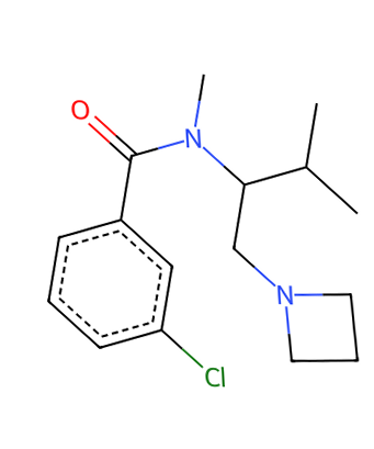 CC(C)C(CN1CCC1)N(C)C(=O)c1cccc(Cl)c1